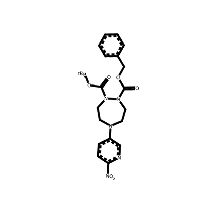 CC(C)(C)OC(=O)N1CCN(c2ccc([N+](=O)[O-])nc2)CCN1C(=O)OCc1ccccc1